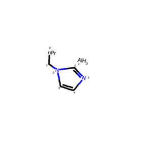 CCCCn1ccnc1.[AlH3]